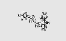 C=C(CCNC(=O)COc1ccc(Cl)c(F)c1)Nc1ccnc(NC2=C3CCCC(=CC2)N3)c1